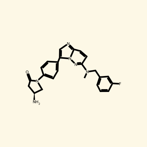 CN(Cc1cccc(F)c1)c1ccc2ncc(-c3ccc(N4C[C@@H](N)CC4=O)cc3)n2n1